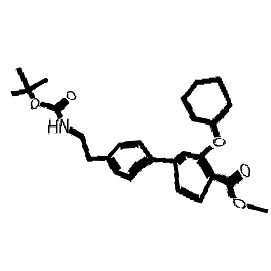 COC(=O)c1ccc(-c2ccc(CCNC(=O)OC(C)(C)C)cc2)cc1OC1CCCCC1